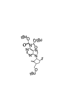 C=C1C(COC(C)(C)C)C[C@H](F)C1n1cnc2c(N(C(=O)OC(C)(C)C)C(=O)OC(C)(C)C)ncnc21